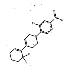 O=[N+]([O-])c1ccc(N2CC=C(C3=CCCCC3(F)F)CC2)c(F)c1